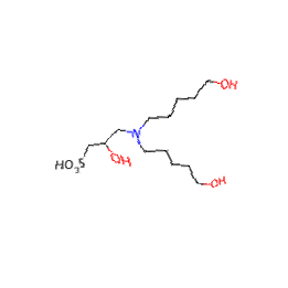 O=S(=O)(O)CC(O)CN(CCCCCO)CCCCCO